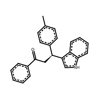 Cc1ccc([C@H](CC(=O)c2ccccc2)c2c[nH]c3ccccc23)cc1